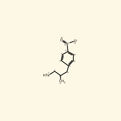 CC(C[TeH])Cc1ccc([N+](=O)[O-])cc1